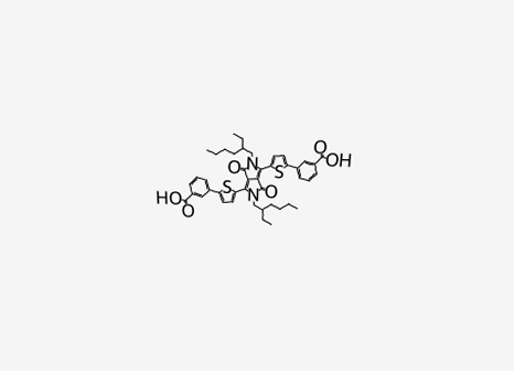 CCCCC(CC)CN1C(=O)C2=C(c3ccc(-c4cccc(C(=O)O)c4)s3)N(CC(CC)CCCC)C(=O)C2=C1c1ccc(-c2cccc(C(=O)O)c2)s1